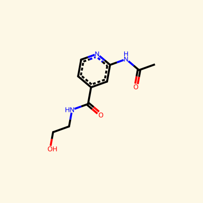 CC(=O)Nc1cc(C(=O)NCCO)ccn1